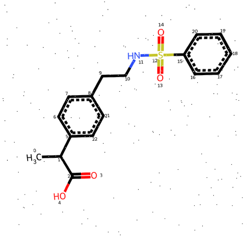 CC(C(=O)O)c1ccc(CCNS(=O)(=O)c2ccccc2)cc1